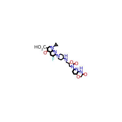 O=C1COc2ccc(N3CC(CNC4CCN(c5nc6c(cc5F)c(=O)c(C(=O)O)cn6C5CC5)CC4)OC3=O)nc2N1